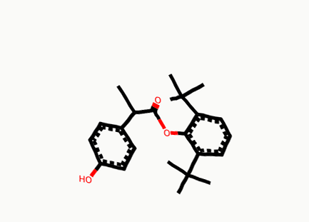 CC(C(=O)Oc1c(C(C)(C)C)cccc1C(C)(C)C)c1ccc(O)cc1